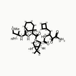 CCC[C@@](C)(COC)NC(=O)N[C@H](C(=O)N1C[C@H]2[C@@H]([C@H]1C(=O)NC(CC1CCC1)C(=O)C(N)=O)C2(C)C)C1(C)CCCCC1